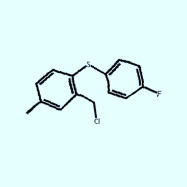 Cc1ccc(Sc2ccc(F)cc2)c(CCl)c1